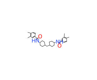 Cc1ccc(C(=O)NC2CCC(CC3CCC(NC(=O)c4ccc(C)c(C)c4)CC3)CC2)cc1C